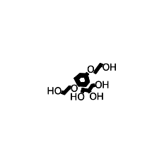 OCC(O)CO.OCCOc1ccc(OCCO)cc1